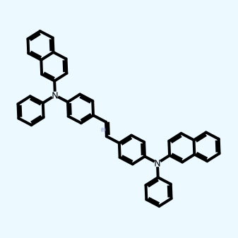 C(=C\c1ccc(N(c2ccccc2)c2ccc3ccccc3c2)cc1)/c1ccc(N(c2ccccc2)c2ccc3ccccc3c2)cc1